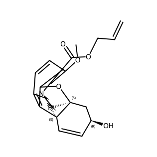 C=CCOC(=O)N1CC[C@@]23C=C[C@H](O)C[C@@H]2Oc2c(OC)ccc(c23)C1